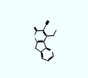 CCc1c2c([nH]c(=O)c1C#N)Cc1cccnc1-2